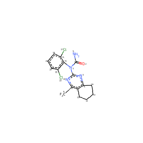 NC(=O)N(c1nc2c(c(C(F)(F)F)n1)CCCC2)c1c(Cl)cccc1Cl